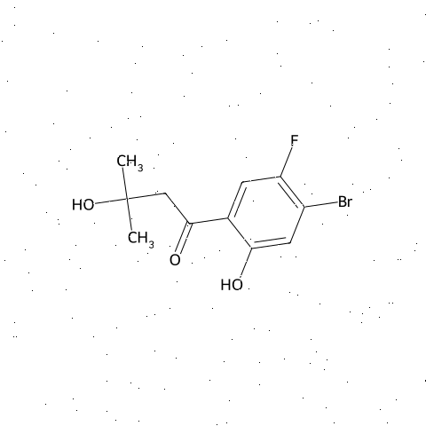 CC(C)(O)CC(=O)c1cc(F)c(Br)cc1O